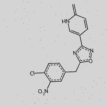 C=C1C=CC(c2noc(Cc3ccc(Cl)c([N+](=O)[O-])c3)n2)=CN1